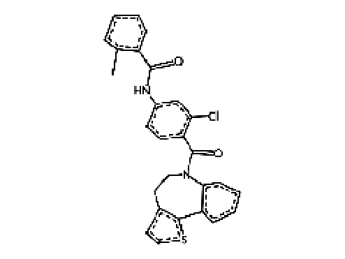 Cc1ccccc1C(=O)Nc1ccc(C(=O)N2CCc3ccsc3-c3ccccc32)c(Cl)c1